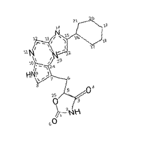 O=C1NC(=O)C(Cc2c[nH]c3ncc4nc(C5CCCCC5)cn4c23)O1